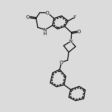 O=C1CNc2cc(C(=O)N3CC(COc4cccc(-c5ccccc5)c4)C3)c(F)cc2OC1